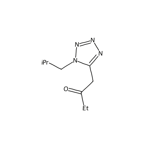 CCC(=O)Cc1nnnn1CC(C)C